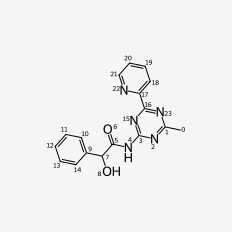 Cc1nc(NC(=O)C(O)c2ccccc2)nc(-c2ccccn2)n1